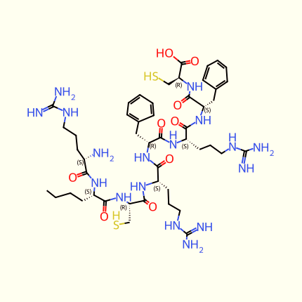 CCCC[C@H](NC(=O)[C@@H](N)CCCNC(=N)N)C(=O)N[C@@H](CS)C(=O)N[C@@H](CCCNC(=N)N)C(=O)N[C@H](Cc1ccccc1)C(=O)N[C@@H](CCCNC(=N)N)C(=O)N[C@@H](Cc1ccccc1)C(=O)N[C@@H](CS)C(=O)O